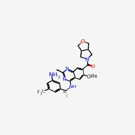 COc1cc2c(N[C@H](C)c3cc(N)cc(C(F)(F)F)c3)nc(C)nc2cc1C(=O)N1CC2COCC2C1